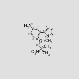 Cn1nccc1-c1cc(N)ccc1OCC(C)(C)[N+](=O)[O-]